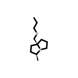 CCCOC[C@@]12CCCN1[C@@H](C)CC2